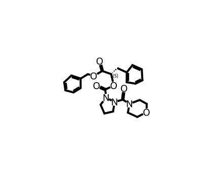 O=C(OCc1ccccc1)[C@H](Cc1ccccc1)OC(=O)N1CCCN1C(=O)N1CCOCC1